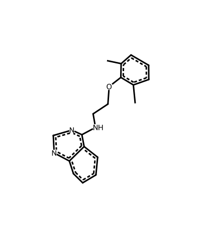 Cc1cccc(C)c1OCCNc1ncnc2ccccc12